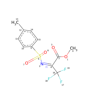 COC(=O)/C(=N\S(=O)(=O)c1ccc(C)cc1)C(F)(F)F